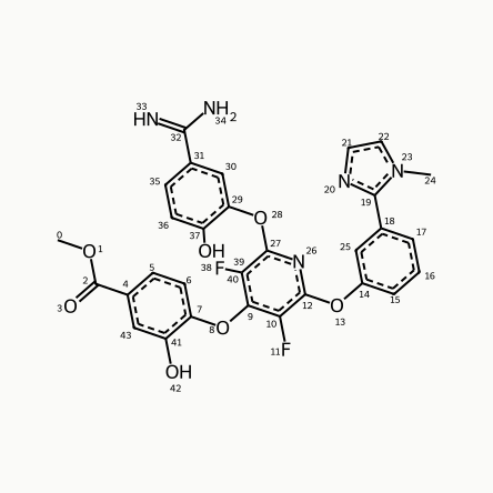 COC(=O)c1ccc(Oc2c(F)c(Oc3cccc(-c4nccn4C)c3)nc(Oc3cc(C(=N)N)ccc3O)c2F)c(O)c1